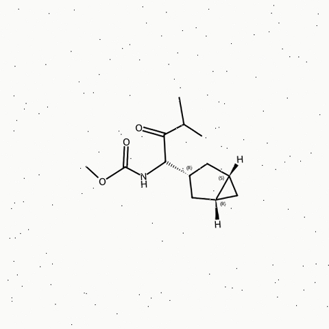 COC(=O)NC(C(=O)C(C)C)[C@@H]1C[C@@H]2C[C@@H]2C1